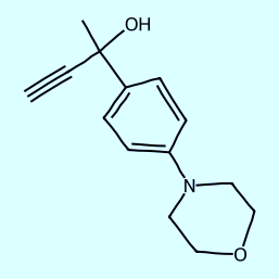 C#CC(C)(O)c1ccc(N2CCOCC2)cc1